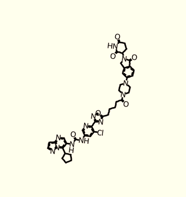 O=C1CCC(N2Cc3cc(N4CCN(C(=O)CCCCc5nc(-c6ncc(NC(=O)Nc7cnc8ccnn8c7C7CCCC7)cc6Cl)no5)CC4)ccc3C2=O)C(=O)N1